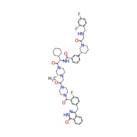 C[C@@H]1CN(C(=O)[C@H](NC(=O)c2cccc([C@@H]3CCCN(C(=O)CNCc4ccc(F)cc4F)C3)c2)C2CCCCC2)CCN1CC(=O)N1CCN(C(=O)c2cc(Cc3n[nH]c(=O)c4ccccc34)ccc2F)CC1